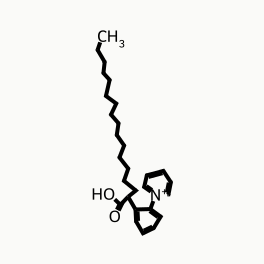 CCCCCCCCCCCCCCCC(C(=O)O)c1ccccc1-[n+]1ccccc1